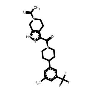 CC(=O)N1CCc2c(C(=O)N3CCC(c4cc(C)cc(C(F)(F)F)c4)CC3)n[nH]c2C1